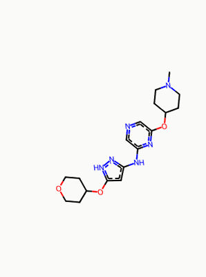 CN1CCC(Oc2cncc(Nc3cc(OC4CCOCC4)[nH]n3)n2)CC1